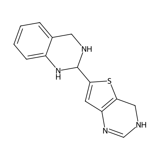 C1=Nc2cc(C3NCc4ccccc4N3)sc2CN1